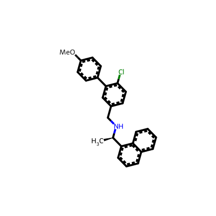 COc1ccc(-c2cc(CN[C@H](C)c3cccc4ccccc34)ccc2Cl)cc1